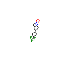 O=CN1CCc2cc(-c3ccc(C(F)(F)F)cc3)ccc21